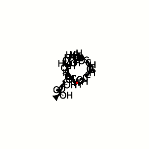 C=C1C[C@@H]2CC[C@@]34C[C@H]5O[C@H]6[C@@H](O3)[C@H]3O[C@H](CC[C@@H]3O[C@H]6[C@H]5O4)CC(=O)C[C@@H]3[C@@H](C)[C@@H](C[C@H](O)COC(=O)[C@H](O)C4CC4)O[C@H]3C[C@H]3O[C@@H](CC[C@@H]1O2)C[C@@H](C)C3=C